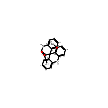 Oc1cccc2c1C1(c3ccccc3O2)c2ccccc2Oc2cccc(O)c21